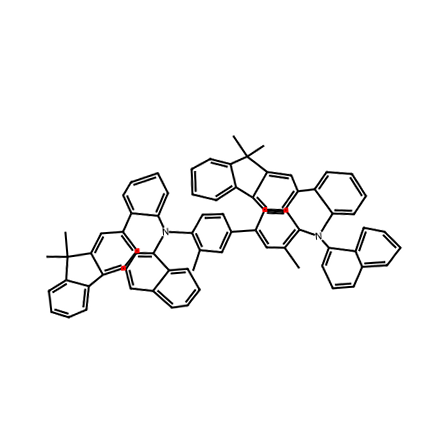 Cc1cc(-c2ccc(N(c3ccccc3-c3ccc4c(c3)C(C)(C)c3ccccc3-4)c3cccc4ccccc34)c(C)c2)ccc1N(c1ccccc1-c1ccc2c(c1)C(C)(C)c1ccccc1-2)c1cccc2ccccc12